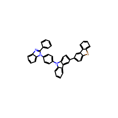 c1ccc(-c2nc3ccccc3n2-c2ccc(-n3c4ccccc4c4cc(-c5ccc6sc7ccccc7c6c5)ccc43)cc2)cc1